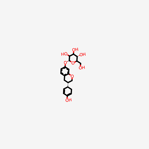 OCC1O[C@H](Oc2ccc3c(c2)OC[C@H](C2C=CC(O)=CC2)C3)C(O)C(O)[C@@H]1O